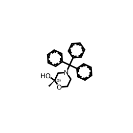 C[C@@]1(O)CN(C(c2ccccc2)(c2ccccc2)c2ccccc2)CCO1